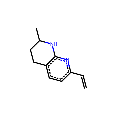 C=Cc1ccc2c(n1)NC(C)CC2